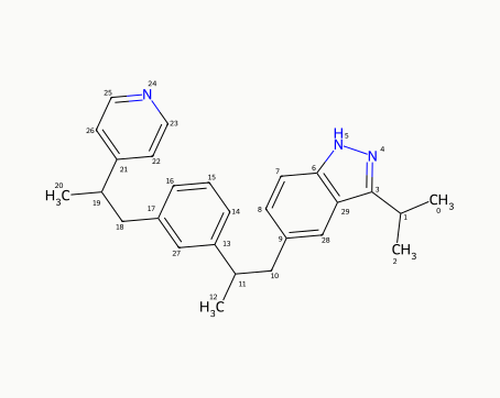 CC(C)c1n[nH]c2ccc(CC(C)c3cccc(CC(C)c4ccncc4)c3)cc12